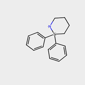 c1ccc([Si]2(c3ccccc3)CCCC[N]2)cc1